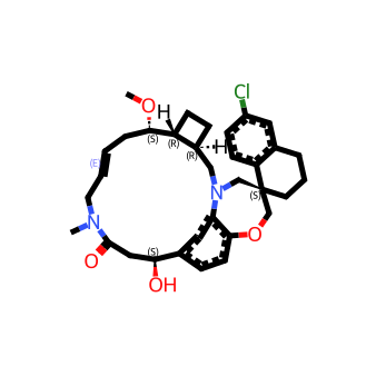 CO[C@H]1C/C=C/CN(C)C(=O)C[C@H](O)c2ccc3c(c2)N(C[C@@H]2CC[C@H]21)C[C@@]1(CCCc2cc(Cl)ccc21)CO3